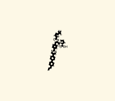 CCCC1C=CC(C2CC=C(c3cnc(-c4ccc(C/C(=N\C(=O)c5ccc(C(C)(C)C)s5)C(=O)N5CCC[C@H]5C(=O)O)cc4)nc3)CC2)CC1